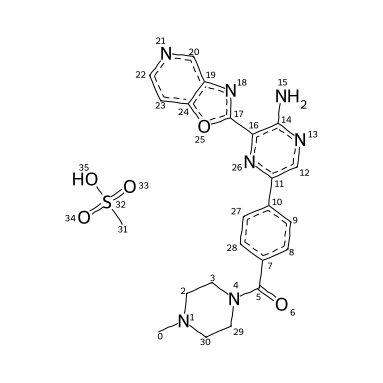 CN1CCN(C(=O)c2ccc(-c3cnc(N)c(-c4nc5cnccc5o4)n3)cc2)CC1.CS(=O)(=O)O